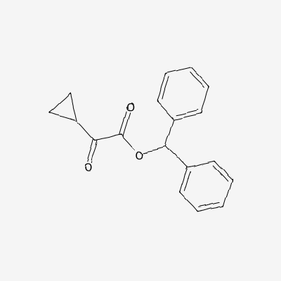 O=C(OC(c1ccccc1)c1ccccc1)C(=O)C1CC1